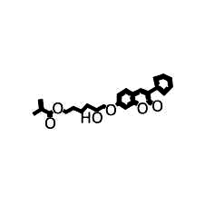 C=C(C)C(=O)OCCCCC(O)COc1ccc2cc(-c3ccccc3)c(=O)oc2c1